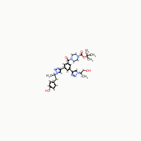 C[C@H](CO)n1cc(-c2cc(C(=O)N3CCN(C(=O)OC(C)(C)C)CC3)cc(-c3cn([C@H](C)Cc4ccc(O)cc4)nn3)c2)nn1